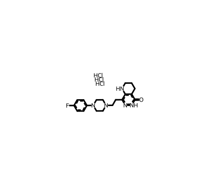 Cl.Cl.Cl.O=c1[nH]nc(CCN2CCN(c3ccc(F)cc3)CC2)c2c1CCCN2